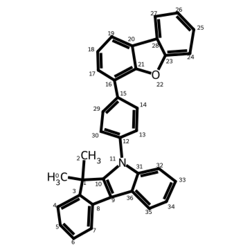 CC1(C)c2ccccc2-c2c1n(-c1ccc(-c3cccc4c3oc3ccccc34)cc1)c1ccccc21